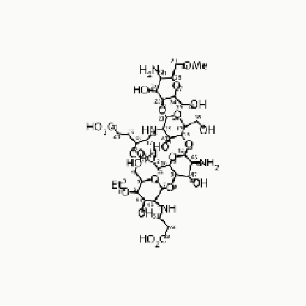 CCOC1C(CO)OC(OC2C(CO)OC(OC3C(CO)OC(OC4C(CO)OC(COC)C(N)C4O)C(NCC(CCC(=O)O)C(=O)O)C3O)C(N)C2O)C(NCCC(=O)O)C1O